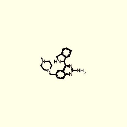 CN1CCN(Cc2ccc3nc(N)nc(C4NCc5ccccc54)c3c2)CC1